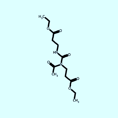 CCOC(=O)CCNC(=O)N(CCC(=O)OCC)C(C)=O